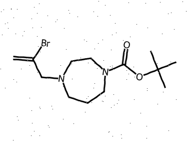 C=C(Br)CN1CCCN(C(=O)OC(C)(C)C)CC1